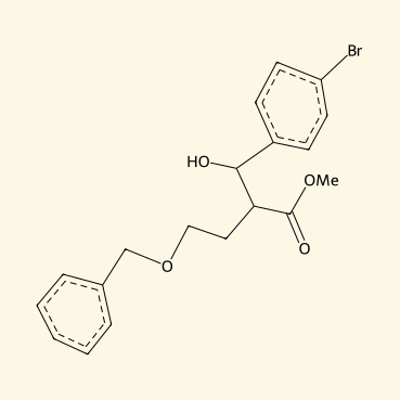 COC(=O)C(CCOCc1ccccc1)C(O)c1ccc(Br)cc1